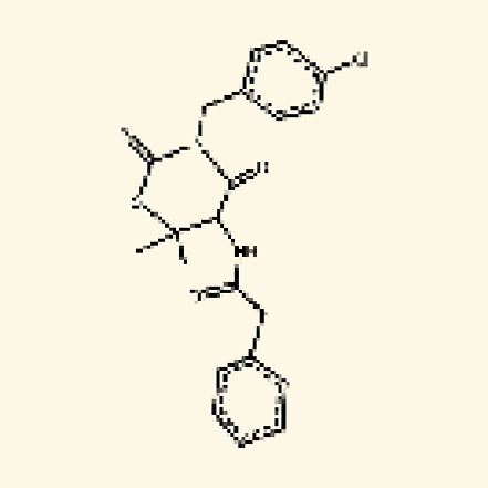 CC1(C)SC(=S)N(Cc2ccc(Cl)cc2)C(=O)C1NC(=O)Cc1ccccc1